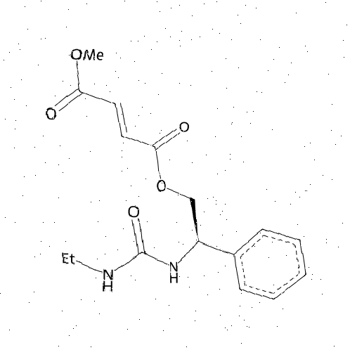 CCNC(=O)N[C@@H](COC(=O)/C=C/C(=O)OC)c1ccccc1